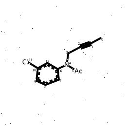 CC#CCN(C(C)=O)c1cccc(Cl)c1